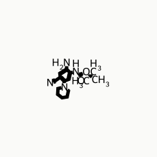 CC(C)(C)OC(=O)Nc1cc(N2CCCCC2)c(C#N)cc1N